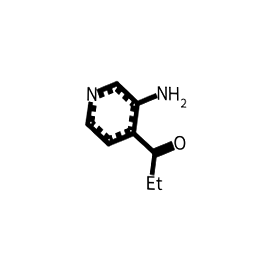 CCC(=O)c1ccncc1N